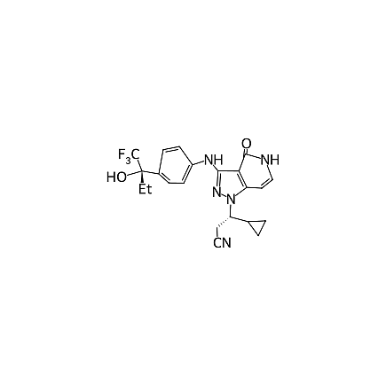 CC[C@](O)(c1ccc(Nc2nn([C@@H](CC#N)C3CC3)c3cc[nH]c(=O)c23)cc1)C(F)(F)F